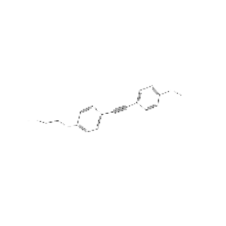 CCCOc1ccc(C#Cc2ccc(OCCOC)cc2)cc1